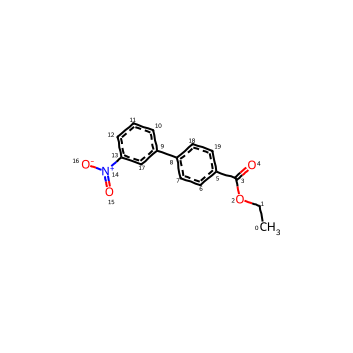 CCOC(=O)c1ccc(-c2cccc([N+](=O)[O-])c2)cc1